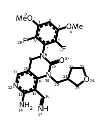 COc1cc(OC)c(F)c(N2Cc3cnc(N)c(C=N)c3N(CC3CCOC3)C2=O)c1F